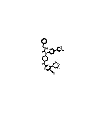 C[C@@H]1CN(c2nc(NC3CCC(N(C(=O)NCc4ccccc4)c4ccc(-c5cnn(C)c5)cn4)CC3)ncc2C#N)C[C@H](C)O1